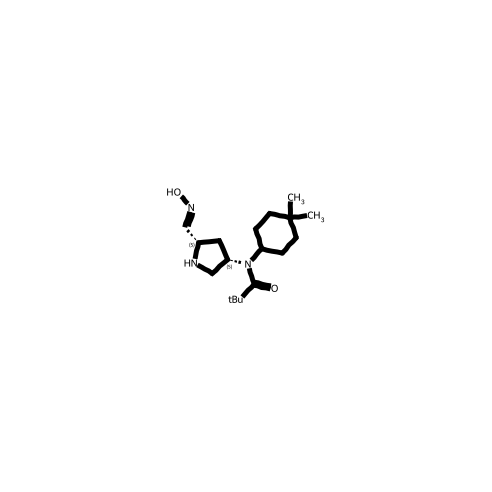 CC1(C)CCC(N(C(=O)C(C)(C)C)[C@@H]2CN[C@H](C=NO)C2)CC1